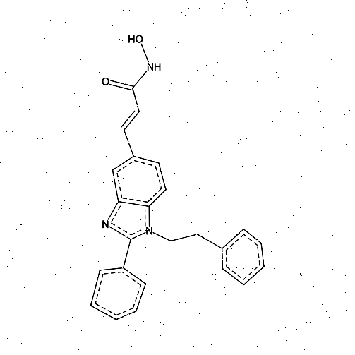 O=C(C=Cc1ccc2c(c1)nc(-c1ccccc1)n2CCc1ccccc1)NO